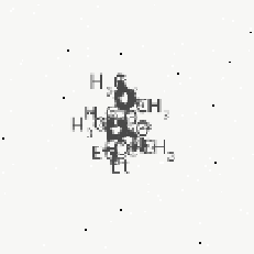 CCC(CC)Oc1cc(C)nc(Oc2c(C)cc(C)cc2C)c1C(=O)N(C)C